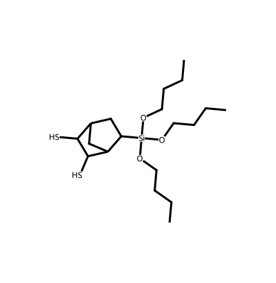 CCCCO[Si](OCCCC)(OCCCC)C1CC2CC1C(S)C2S